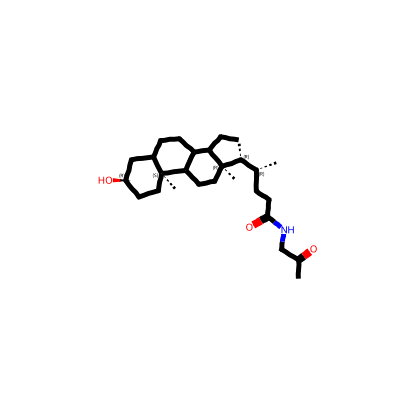 CC(=O)CNC(=O)CC[C@@H](C)[C@H]1CCC2C3CCC4C[C@H](O)CC[C@]4(C)C3CC[C@@]21C